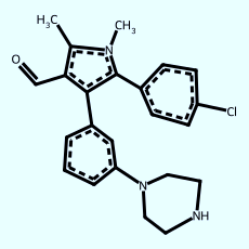 Cc1c(C=O)c(-c2cccc(N3CCNCC3)c2)c(-c2ccc(Cl)cc2)n1C